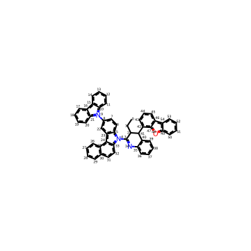 CCC1C(n2c3ccc(-n4c5ccccc5c5ccccc54)cc3c3c4ccccc4ccc32)=Nc2ccccc2C1c1cccc2c1oc1ccccc12